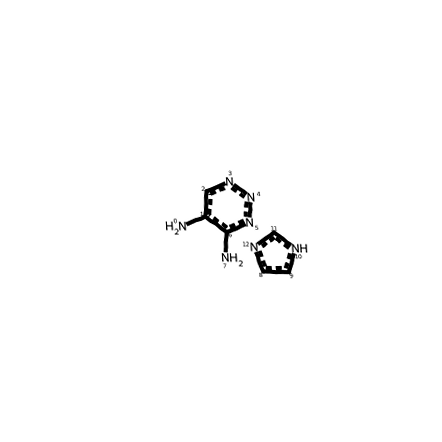 Nc1cnnnc1N.c1c[nH]cn1